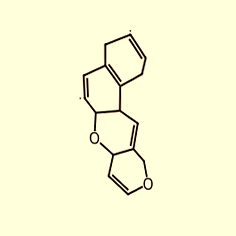 [C]1=CCC2=C(C=[C]C3OC4C=COCC4=CC23)C1